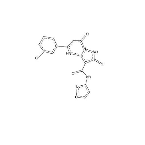 O=C(Nc1ccon1)c1c(=O)[nH]n2c(=O)cc(-c3cccc(Cl)c3)[nH]c12